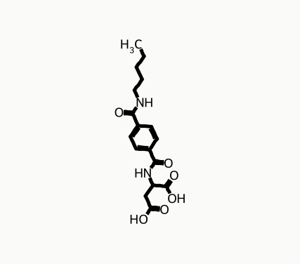 CCCCCNC(=O)c1ccc(C(=O)NC(CC(=O)O)C(=O)O)cc1